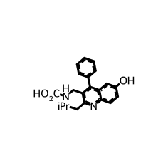 CC(C)Cc1nc2ccc(O)cc2c(-c2ccccc2)c1CNC(=O)O